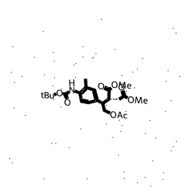 COC(=O)C[C@@H](C(=O)OC)C(COC(C)=O)c1ccc(NC(=O)OC(C)(C)C)c(C)c1